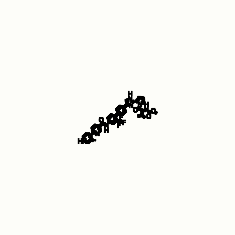 COC(=O)NC(C(=O)N1CCC[C@H]1c1nc(-c2ccc(-c3ccc(NC(=O)c4ccc(N5CCNC[C@@H]5C)nc4)cc3C(F)(F)F)cc2)c[nH]1)C(C)C